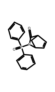 O=C1C2C=CC(C2)N1P(=O)(c1ccccc1)c1ccccc1